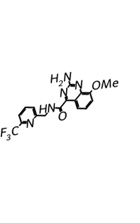 COc1cccc2c(C(=O)NCc3cccc(C(F)(F)F)n3)nc(N)nc12